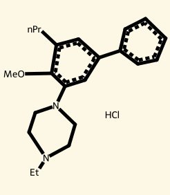 CCCc1cc(-c2ccccc2)cc(N2CCN(CC)CC2)c1OC.Cl